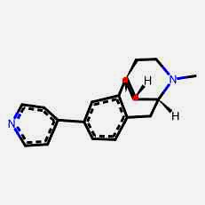 CN1CC[C@]23CCCC[C@H]2[C@H]1Cc1ccc(-c2ccncc2)cc13